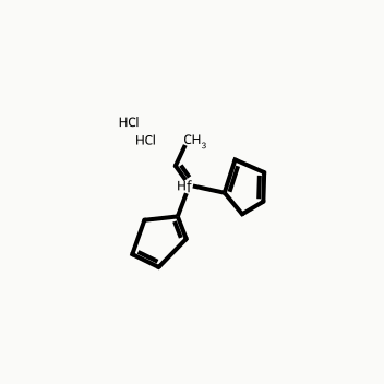 C[CH]=[Hf]([C]1=CC=CC1)[C]1=CC=CC1.Cl.Cl